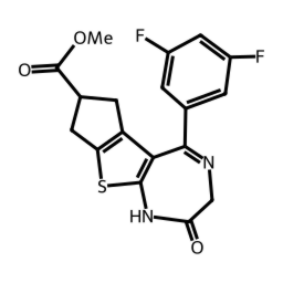 COC(=O)C1Cc2sc3c(c2C1)C(c1cc(F)cc(F)c1)=NCC(=O)N3